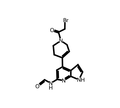 O=CNc1cc(C2=CCN(C(=O)CBr)CC2)c2cc[nH]c2n1